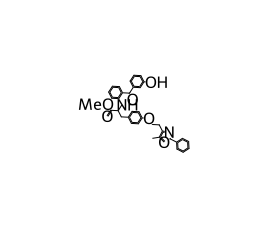 COC(=O)C(Cc1ccc(OCCc2nc(-c3ccccc3)oc2C)cc1)Nc1ccccc1C(=O)c1cccc(O)c1